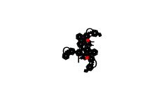 C=CC1=CC=C(Oc2ccc(C3(c4ccc(F)cc4)c4ccccc4-c4ccc(N(c5cccc(-c6ccc7oc8ccccc8c7c6)c5)c5ccc6c(c5)C(c5ccc(F)cc5)(c5ccc(Oc7ccc(C=C)cc7)cc5)c5ccccc5-6)cc43)cc2)CC1